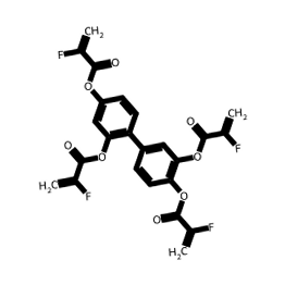 C=C(F)C(=O)Oc1ccc(-c2ccc(OC(=O)C(=C)F)c(OC(=O)C(=C)F)c2)c(OC(=O)C(=C)F)c1